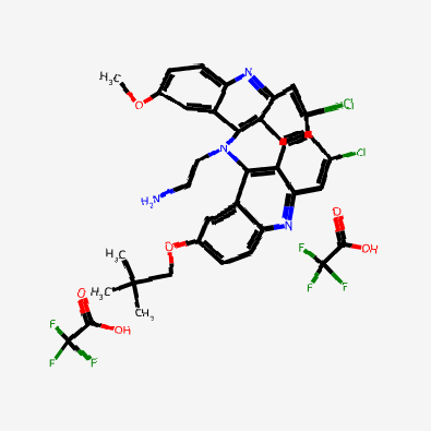 COc1ccc2nc3cc(Cl)ccc3c(N(CCN)c3c4ccc(Cl)cc4nc4ccc(OCC(C)(C)C)cc34)c2c1.O=C(O)C(F)(F)F.O=C(O)C(F)(F)F